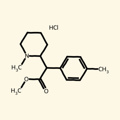 COC(=O)C(c1ccc(C)cc1)C1CCCCN1C.Cl